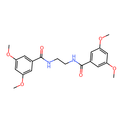 COc1cc(OC)cc(C(=O)NCCNC(=O)c2cc(OC)cc(OC)c2)c1